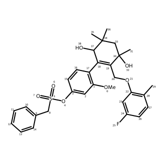 COc1cc(OS(=O)(=O)Cc2ccccc2)ccc1C1=C(COc2cc(F)ccc2C)C(C)(O)CC(C)(C)C1O